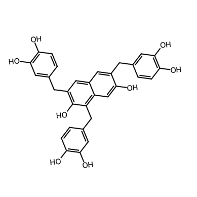 Oc1ccc(Cc2cc3cc(Cc4ccc(O)c(O)c4)c(O)c(Cc4ccc(O)c(O)c4)c3cc2O)cc1O